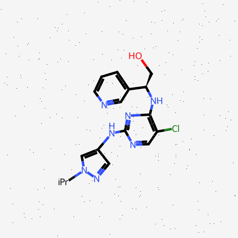 CC(C)n1cc(Nc2ncc(Cl)c(N[C@H](CO)c3cccnc3)n2)cn1